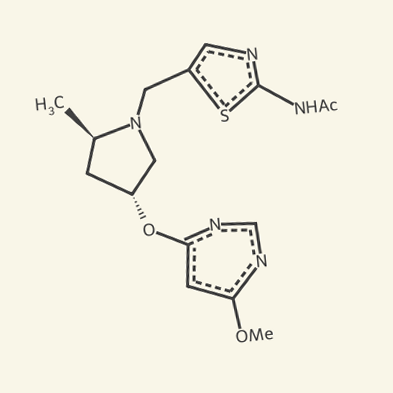 COc1cc(O[C@@H]2C[C@@H](C)N(Cc3cnc(NC(C)=O)s3)C2)ncn1